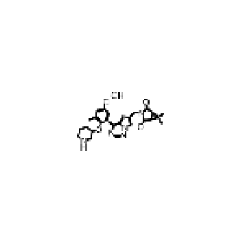 Cc1cc(Cl)cc(-c2ncnn3cc(CN4C(=O)C5C(C4=O)C5(C)C)cc23)c1OC1CCCNC1.Cl